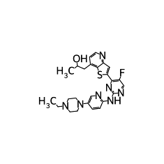 CCN1CCN(c2ccc(Nc3ncc(F)c(-c4cc5nccc(CC(C)O)c5s4)n3)nc2)CC1